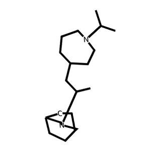 CC(C)N1CCCC(CC(C)N2CC3CCC(CC3)C2)CC1